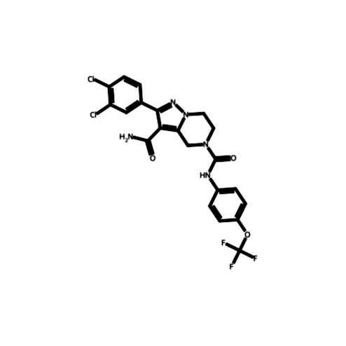 NC(=O)c1c(-c2ccc(Cl)c(Cl)c2)nn2c1CN(C(=O)Nc1ccc(OC(F)(F)F)cc1)CC2